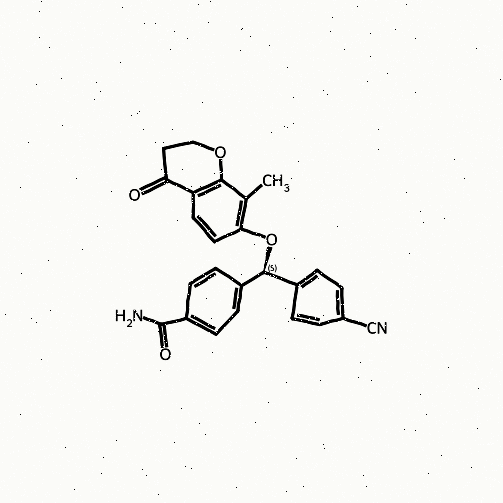 Cc1c(O[C@@H](c2ccc(C#N)cc2)c2ccc(C(N)=O)cc2)ccc2c1OCCC2=O